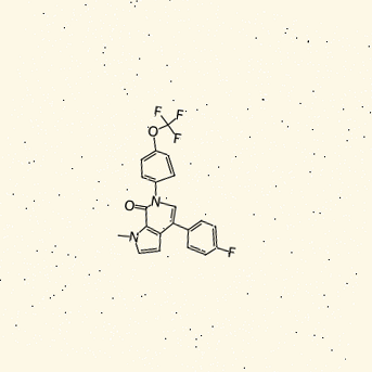 Cn1ccc2c(-c3ccc(F)cc3)cn(-c3ccc(OC(F)(F)F)cc3)c(=O)c21